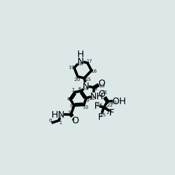 CCNC(=O)c1ccc2c(c1)[nH]c(=O)n2C1CCNCC1.O=C(O)C(F)(F)F